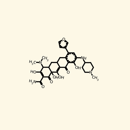 CN1CCC(Nc2cc(-c3ccoc3)c3c(c2O)C(=O)C2=C(O)C4(O)C(=O)C(C(N)=O)=C(O)C(N(C)C)C4CC2C3)CC1